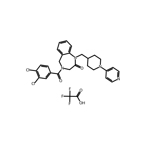 O=C(O)C(F)(F)F.O=C(c1ccc(Cl)c(Cl)c1)N1CC(=O)N(CC2CCN(c3ccncc3)CC2)c2ccccc2C1